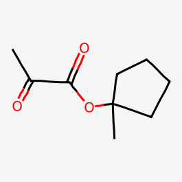 CC(=O)C(=O)OC1(C)CCCC1